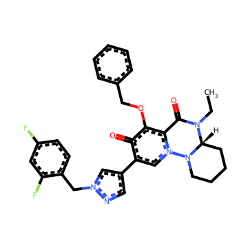 CCN1C(=O)c2c(OCc3ccccc3)c(=O)c(-c3cnn(Cc4ccc(F)cc4F)c3)cn2N2CCCC[C@@H]12